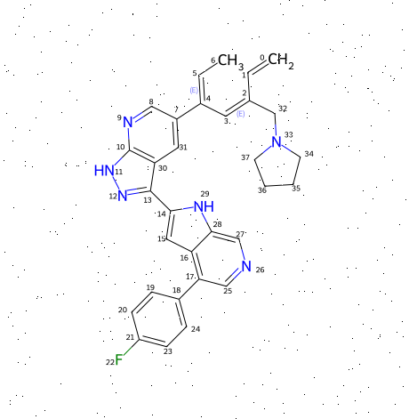 C=C/C(=C\C(=C/C)c1cnc2[nH]nc(-c3cc4c(-c5ccc(F)cc5)cncc4[nH]3)c2c1)CN1CCCC1